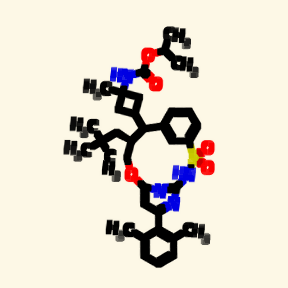 Cc1cccc(C)c1-c1cc2nc(n1)NS(=O)(=O)c1cccc(c1)C(C1CC(C)(NC(=O)OC(C)C)C1)[C@H](CC(C)(C)C)CO2